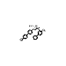 CC(=O)c1ccc(-c2ccccc2)cc1OC(CCc1ccc(-c2ccc(Cl)cc2)cc1)C(=O)O